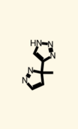 CC1(c2c[nH]nn2)C=CN=N1